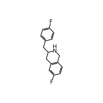 Fc1ccc(CC2Cc3cc(F)ccc3CN2)cc1